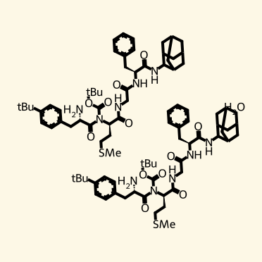 CSCC[C@H](C(=O)NCC(=O)N[C@@H](Cc1ccccc1)C(=O)NC1C2CC3CC(C2)CC1C3)N(C(=O)OC(C)(C)C)C(=O)[C@@H](N)Cc1ccc(C(C)(C)C)cc1.CSCC[C@H](C(=O)NCC(=O)N[C@@H](Cc1ccccc1)C(=O)NC1C2CC3CC(C2)CC1C3)N(C(=O)OC(C)(C)C)C(=O)[C@@H](N)Cc1ccc(C(C)(C)C)cc1.O